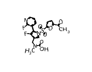 CC(=O)c1ccc(S(=O)(=O)n2cc(CN(C)C(=O)O)c(F)c2-c2cccnc2F)o1